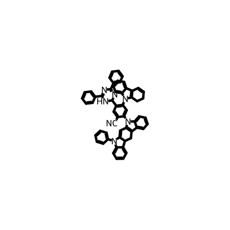 N#Cc1cc(C2N=C(c3ccccc3)N=C(c3ccccc3)N2)c(-n2c3c(c4ccccc42)C=CCC3)cc1-n1c2c(c3ccccc31)CC1C(=C2)N(c2ccccc2)c2ccccc21